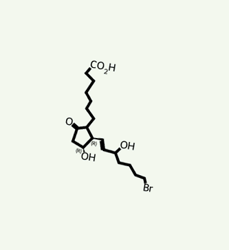 O=C(O)CCCCCCC1C(=O)C[C@@H](O)[C@@H]1C=CC(O)CCCCBr